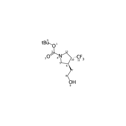 CC(C)(C)OC(=O)N1C[C@H](CCO)[C@@H](C(F)(F)F)C1